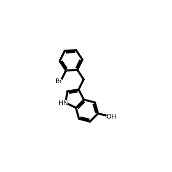 Oc1ccc2[nH]cc(Cc3ccccc3Br)c2c1